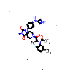 CC(C)C(C(=O)N1CCC2(CC1)C(=O)N(C)C(=O)N2c1ccc(NC2CNC2)cc1)N(C(=O)C(F)(F)F)c1cc(C(F)(F)F)ccc1F